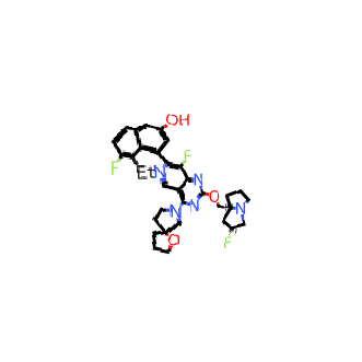 CCc1c(F)ccc2cc(O)cc(-c3ncc4c(N5CCC6(CCCO6)C5)nc(OC[C@@]56CCCN5C[C@H](F)C6)nc4c3F)c12